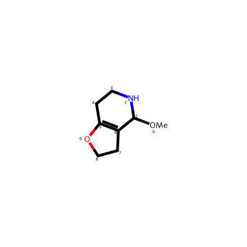 COC1NCCC2=C1CCO2